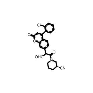 N#C[C@H]1CCCN(C(=O)C(C=O)c2ccc3c(-c4ccccc4Cl)cc(=O)oc3c2)C1